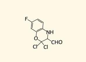 O=CC1Nc2ccc(F)cc2OC1(Cl)Cl